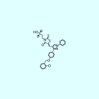 O=C1C(=Cc2cn(-c3ccccc3)nc2-c2ccc(OCc3ccccc3Cl)cc2)SC(=S)N1CCS(=O)(=O)O